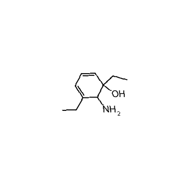 CCC1=CC=CC(O)(CC)C1N